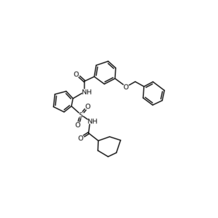 O=C(Nc1ccccc1S(=O)(=O)NC(=O)C1CCCCC1)c1cccc(OCc2ccccc2)c1